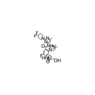 Cc1cc(NC(=O)c2cc(F)c(NS(=O)(=O)CCO)cc2N2CC[Si](C)(C)CC2)nc(N2CCC(F)(F)CC2)n1